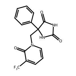 O=C1NC(=O)C(Cn2cccc(C(F)(F)F)c2=O)(c2ccccc2)N1